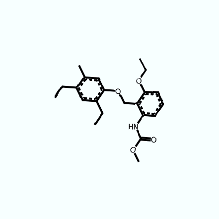 CCOc1cccc(NC(=O)OC)c1COc1cc(C)c(CC)cc1CC